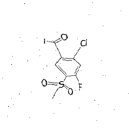 CS(=O)(=O)c1cc(C(=O)I)c(Cl)cc1F